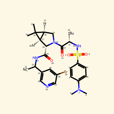 CN(C)c1ccc(S(=O)(=O)N[C@H](C(=O)N2C[C@H]3[C@@H]([C@H]2C(=O)NC(C#N)c2cncc(Br)c2)C3(C)C)C(C)(C)C)cc1